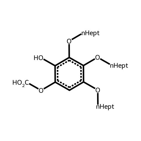 CCCCCCCOc1cc(OC(=O)O)c(O)c(OCCCCCCC)c1OCCCCCCC